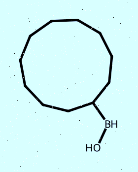 OBC1CCCCCCCCCC1